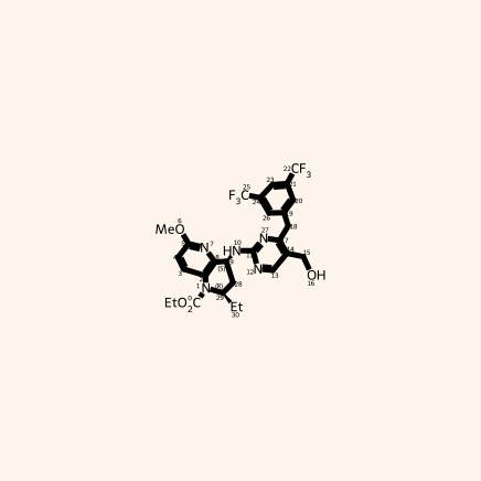 CCOC(=O)N1c2ccc(OC)nc2[C@@H](Nc2ncc(CO)c(Cc3cc(C(F)(F)F)cc(C(F)(F)F)c3)n2)C[C@H]1CC